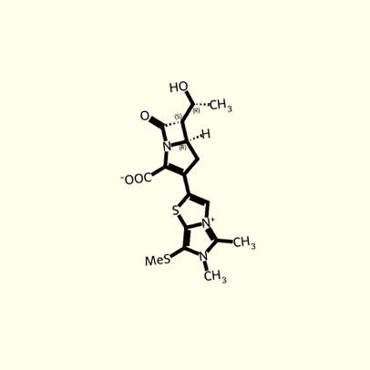 CSc1c2sc(C3=C(C(=O)[O-])N4C(=O)[C@H]([C@@H](C)O)[C@H]4C3)c[n+]2c(C)n1C